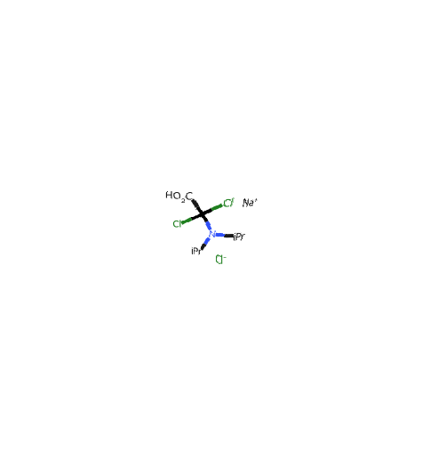 CC(C)N(C(C)C)C(Cl)(Cl)C(=O)O.[Cl-].[Na+]